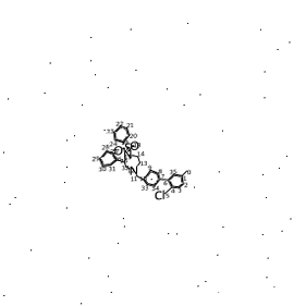 Cc1ccc(Cl)c(-c2ccc(CN3CCN(S(=O)(=O)c4ccccc4)C(c4ccccc4)C3)cc2)c1